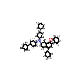 c1ccc(-c2ccc(N(c3ccc(-c4ccccc4)cc3)c3ccc4c(-c5ccccc5)cc5c6ccccc6oc5c4c3)cc2)cc1